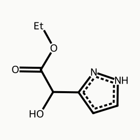 CCOC(=O)C(O)c1cc[nH]n1